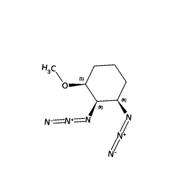 CO[C@H]1CCC[C@@H](N=[N+]=[N-])[C@H]1N=[N+]=[N-]